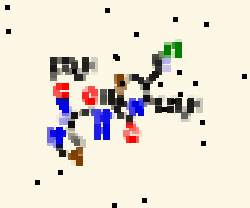 O=C(O)CO/N=C(\C(=O)NC1C(=O)N2C(C(=O)O)=C(/C=C/Cl)CS[C@H]12)c1cscn1